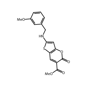 COC(=O)c1cc2sc(NCc3cccc(OC)c3)cc2oc1=O